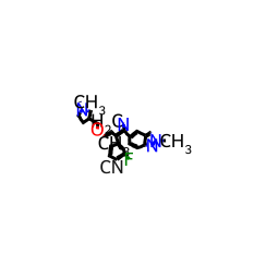 C=N/C(=C(\C=C(/C)OCC1CCN(C)C1)c1ccc(C#N)c(F)c1)c1ccc2nn(C)cc2c1